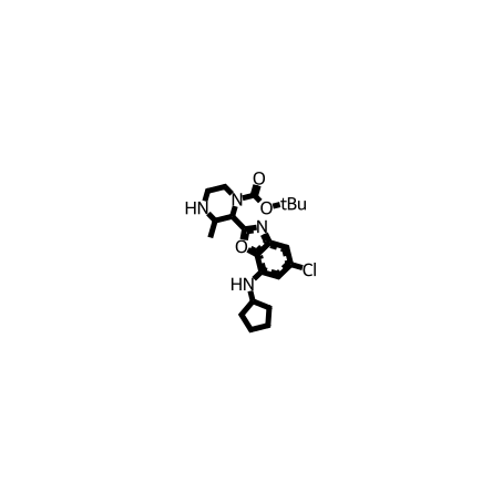 CC1NCCN(C(=O)OC(C)(C)C)C1c1nc2cc(Cl)cc(NC3CCCC3)c2o1